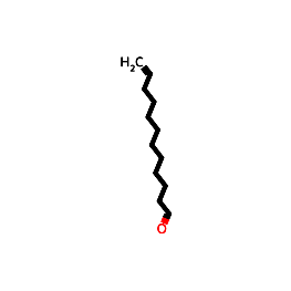 C=CCCCCCCCCCC=O